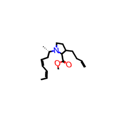 C=CCCC1CCN([C@@H](C)C/C=C\C=C/C)C1C(=O)OC